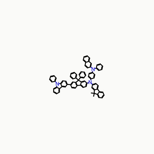 CC1(C)c2ccccc2-c2ccc(N(c3ccc(N(c4ccccc4)c4ccc5ccccc5c4)cc3)c3ccc4c(c3)C(c3ccccc3)(c3ccccc3)c3cc(-c5ccc6c(c5)c5ccccc5n6-c5ccccc5)ccc3-4)cc21